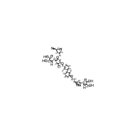 Cc1c(COc2cc(OCc3cncc(C#N)c3)c(CNC(CO)C(=O)O)cc2Cl)cccc1-c1cccc(OCCCn2cc(CNC(CO)C(=O)O)nn2)c1C